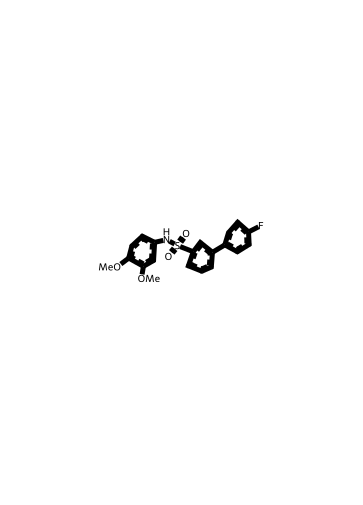 COc1ccc(NS(=O)(=O)c2cccc(-c3ccc(F)cc3)c2)cc1OC